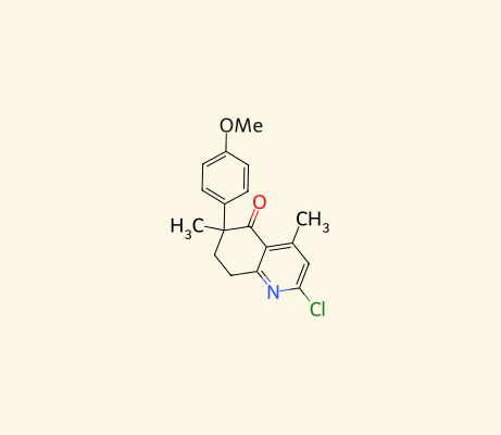 COc1ccc(C2(C)CCc3nc(Cl)cc(C)c3C2=O)cc1